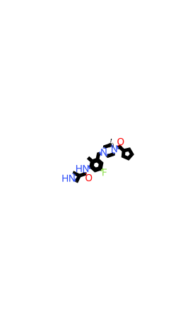 Cc1c(CN2CCN(C(=O)C3CCCC3)[C@@H](C)C2)cc(F)cc1NC(=O)C1CNC1